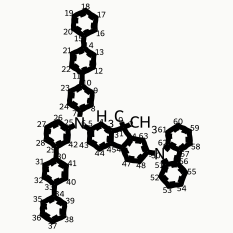 CC1(C)c2cc(N(c3ccc(-c4ccc(-c5ccccc5)cc4)cc3)c3cccc(-c4ccc(-c5ccccc5)cc4)c3)ccc2-c2ccc(-n3c4ccccc4c4ccccc43)cc21